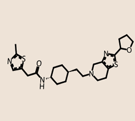 Cc1ncc(CC(=O)N[C@H]2CC[C@H](CCN3CCc4sc(C5CCCO5)nc4C3)CC2)s1